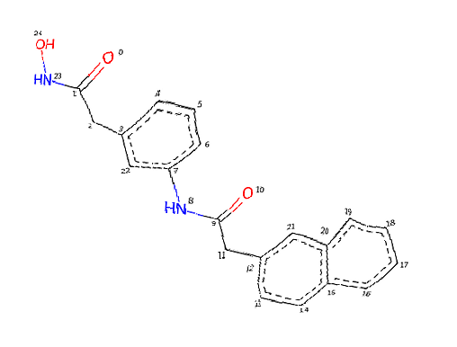 O=C(Cc1cccc(NC(=O)Cc2ccc3ccccc3c2)c1)NO